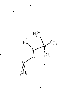 C=CCC(O)C(C)(C)C